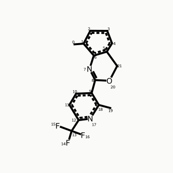 Cc1cccc2c1N=C(c1ccc(C(F)(F)F)nc1C)OC2